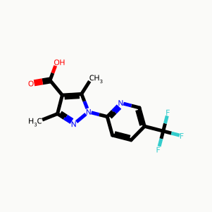 Cc1nn(-c2ccc(C(F)(F)F)cn2)c(C)c1C(=O)O